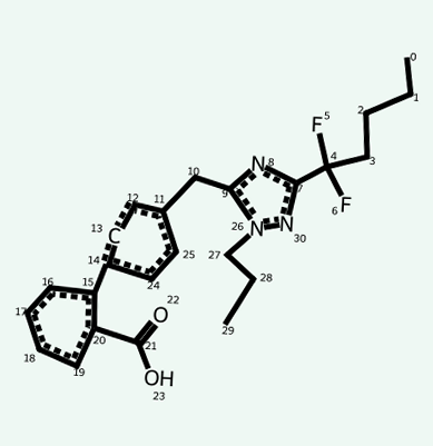 CCCCC(F)(F)c1nc(Cc2ccc(-c3ccccc3C(=O)O)cc2)n(CCC)n1